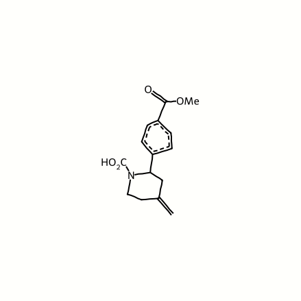 C=C1CCN(C(=O)O)C(c2ccc(C(=O)OC)cc2)C1